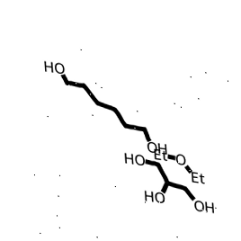 CCOCC.OCC(O)CO.OCCCCCCO